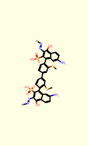 [H]/N=N/c1c(S(=O)(=O)O)c(-c2ccc(-c3ccc(-c4c(S(=O)(=O)O)c(/N=N/[H])c(O)c5ccc(N)cc45)c(SC)c3)cc2SC)c2cc(N)ccc2c1O